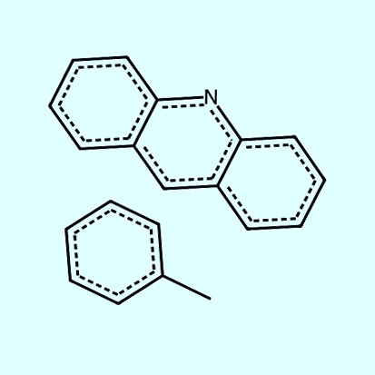 Cc1ccccc1.c1ccc2nc3ccccc3cc2c1